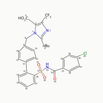 CCCCc1nc(C(F)(F)F)c(C(=O)O)n1Cc1ccc(-c2ccccc2S(=O)(=O)NC(=O)c2ccc(Cl)cc2)cc1